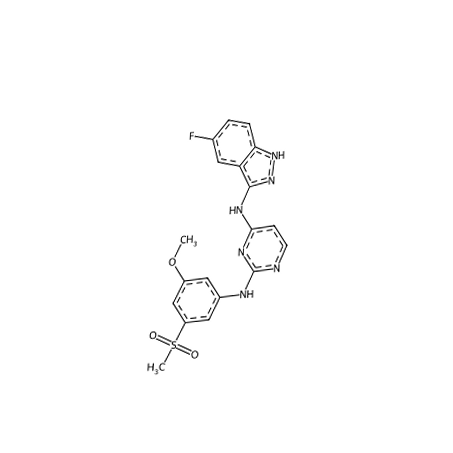 COc1cc(Nc2nccc(Nc3n[nH]c4ccc(F)cc34)n2)cc(S(C)(=O)=O)c1